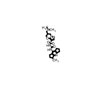 CC1CCc2c1nc1c(c2NC(=O)NS(=O)(=O)c2cnn3c2OCC(CN(C)C)C3)CCC1